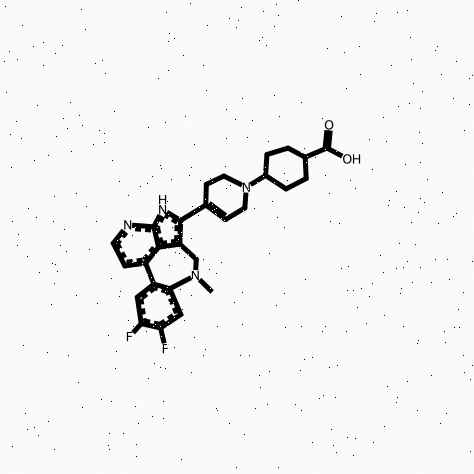 CN1Cc2c(C3=CCN(C4CCC(C(=O)O)CC4)CC3)[nH]c3nccc(c23)-c2cc(F)c(F)cc21